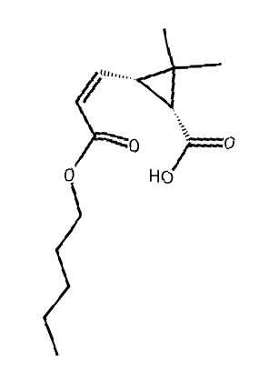 CCCCCOC(=O)/C=C\[C@H]1[C@@H](C(=O)O)C1(C)C